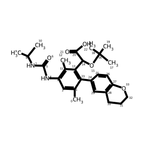 Cc1cc(NC(=O)NC(C)C)c(C)c(C(OC(C)(C)C)C(=O)O)c1-c1ccc2c(c1)CCCO2